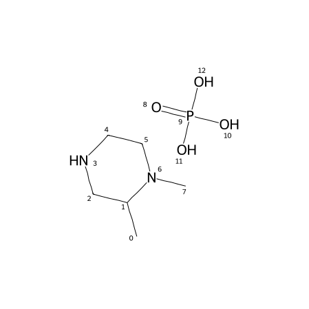 CC1CNCCN1C.O=P(O)(O)O